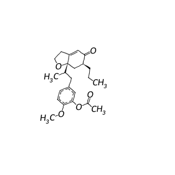 CCC[C@H]1C[C@]2(C(C)Cc3ccc(OC)c(OC(C)=O)c3)OCCC2=CC1=O